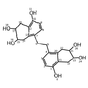 Oc1ccc(CCc2ccc(O)c3c2CC(O)C(O)C3)c2c1CC(O)C(O)C2